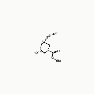 CC(C)(C)OC(=O)N1C[C@H](O)C[C@@H](N=[N+]=[N-])C1